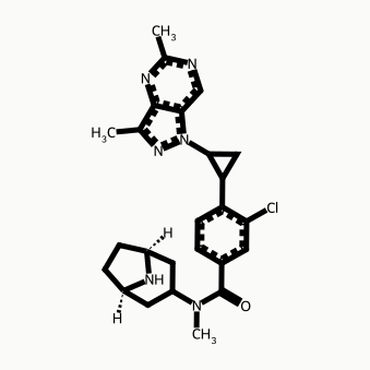 Cc1ncc2c(n1)c(C)nn2C1CC1c1ccc(C(=O)N(C)C2C[C@H]3CC[C@@H](C2)N3)cc1Cl